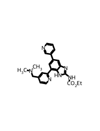 CCOC(=O)Nc1nc2cc(-c3cccnc3)cc(-c3cc(CN(C)C)ccn3)c2[nH]1